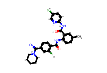 Cc1ccc(NC(=O)c2ccc(C(=N)N3CCCCC3)cc2F)c(C(=O)Nc2ccc(Br)cn2)c1